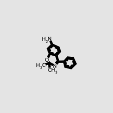 CC1(C)N=C(c2ccccc2)c2ccc(N)cc2O1